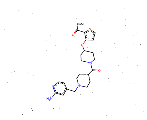 COC(=O)c1sccc1OC1CCN(C(=O)C2CCN(Cc3ccnc(N)c3)CC2)CC1